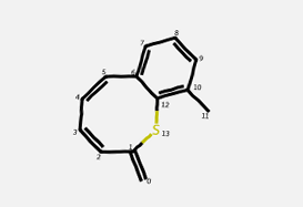 C=C1/C=C\C=C/c2cccc(C)c2S1